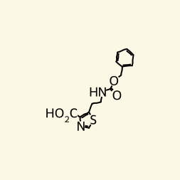 O=C(NCCc1scnc1C(=O)O)OCc1ccccc1